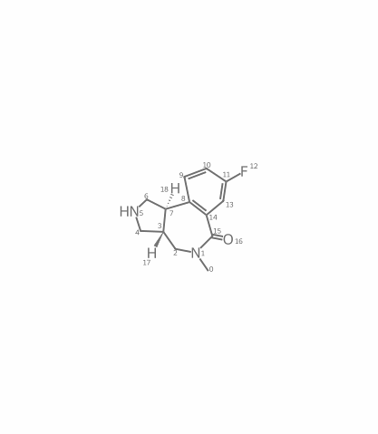 CN1C[C@@H]2CNC[C@H]2c2ccc(F)cc2C1=O